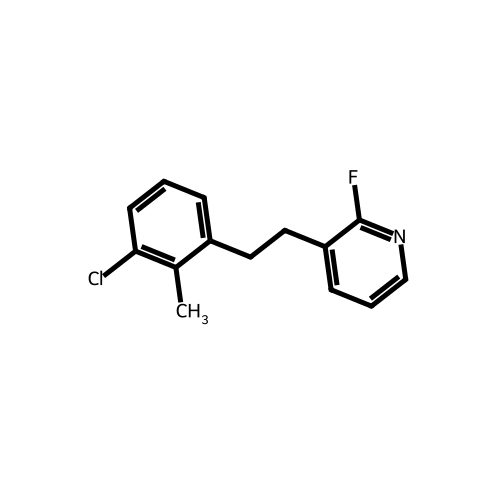 Cc1c(Cl)cccc1CCc1cccnc1F